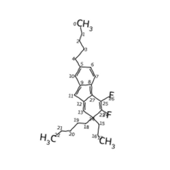 CCCCCc1ccc2c(c1)=CC1=CC(CCC)(CCCCC)C(F)=C(F)C=21